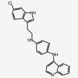 Clc1ccc2c(CCNc3ccc(Nc4ccnc5ccccc45)cc3)c[nH]c2c1